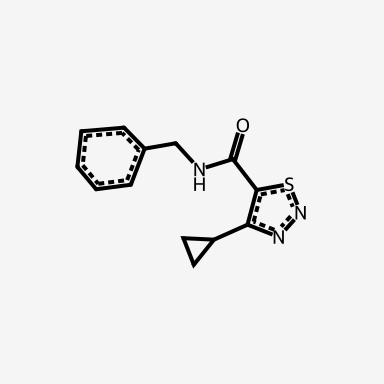 O=C(NCc1ccccc1)c1snnc1C1CC1